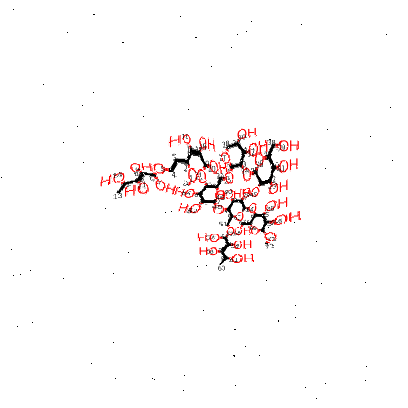 COC(CCOC(O)/C(O)=C(\O)C(C)O)/C(O)=C(/O)C(O)OC1C(COC2OC[C@H](O)C(O)C2OC2OC(CO)C(O)C(O)C2O)OC(OC2C(COC(O)/C(O)=C(\O)C(C)O)OC(OC3C(CO)OC(OC)C(O)C3O)C(O)C2O)C(O)C1O